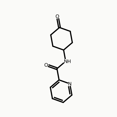 O=C1CCC(NC(=O)c2ccccn2)CC1